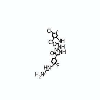 Cc1cc(NC(=O)Nc2nc(=O)c(-c3ccc(CNCCCN)c(F)c3)c[nH]2)c(Cl)cc1Cl